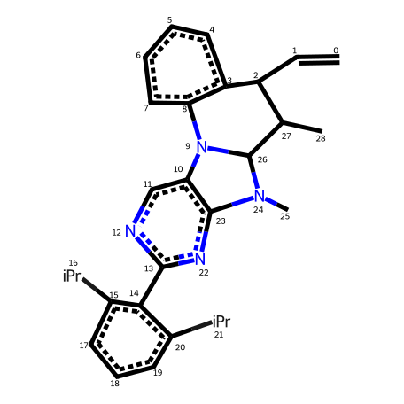 C=CC1c2ccccc2N2c3cnc(-c4c(C(C)C)cccc4C(C)C)nc3N(C)C2C1C